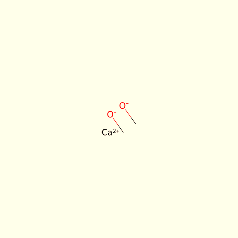 C[O-].C[O-].[Ca+2]